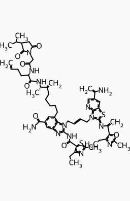 C=CCCC(NC(=O)CN1C(=O)CC(C(C)C)C1=O)C(=O)N[C@@H](C)C(=C)CCCCCc1cc(C(N)=O)cc2nc(NC(=O)c3sc(C)nc3CC)n(C/C=C/Cn3/c(=N/C(=C)c4oc(C)nc4CC)sc4cc(C(=C)N)cnc43)c12